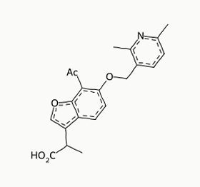 CC(=O)c1c(OCc2ccc(C)nc2C)ccc2c(C(C)C(=O)O)coc12